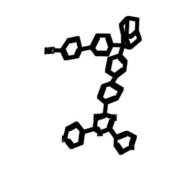 N#Cc1ccc(-c2ccc(C3(c4ccc(-c5ccc(-c6nc(-c7ccncc7)nc(-c7ccncc7)n6)cc5)cc4)C4CC5CC(C4)CC3C5)cc2)cc1